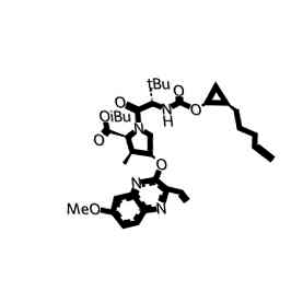 C=CCCC[C@@H]1C[C@H]1OC(=O)N[C@H](C(=O)N1C[C@H](Oc2nc3cc(OC)ccc3nc2C=C)[C@@H](C)[C@H]1C(=O)OCC(C)C)C(C)(C)C